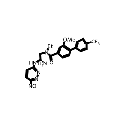 CCN(C[C@@H](N)Nc1ccc(N=O)nn1)C(=O)c1ccc(-c2ccc(C(F)(F)F)cc2)c(OC)c1